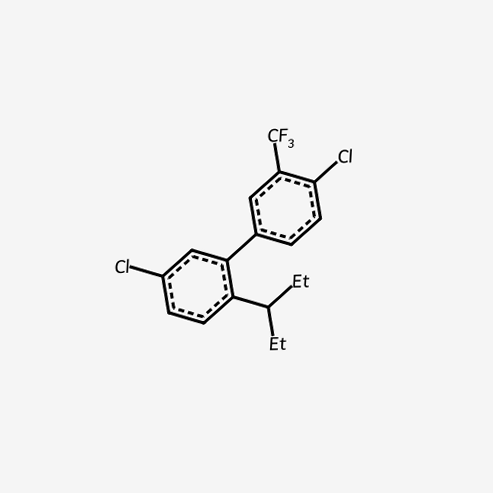 CCC(CC)c1ccc(Cl)cc1-c1ccc(Cl)c(C(F)(F)F)c1